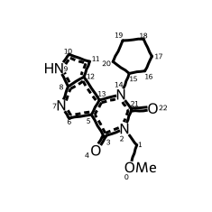 COCn1c(=O)c2cnc3[nH]ccc3c2n(C2CCCCC2)c1=O